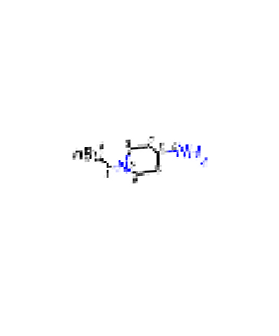 [CH2]CCCCN1CCC(N)CC1